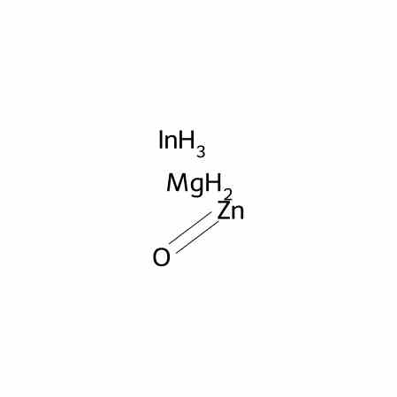 [InH3].[MgH2].[O]=[Zn]